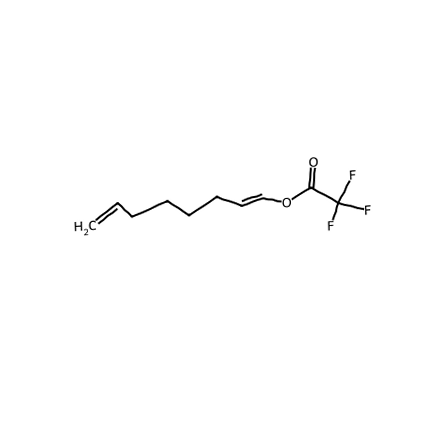 C=CCCCCC=COC(=O)C(F)(F)F